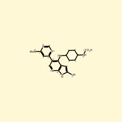 CCCc1cc2c(NC3CCC(NC(=O)O)CC3)c(-c3cc(NC)ncn3)cnc2[nH]1